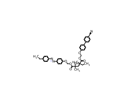 CCc1ccc(/N=N/c2ccc(OCOC(=O)C(C)(C)CC(C)(CC)C(=O)OCOc3ccc(-c4ccc(C#N)cc4)cc3)cc2)cc1